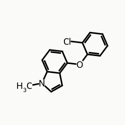 Cn1ccc2c(Oc3ccccc3Cl)cccc21